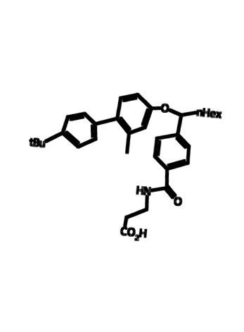 CCCCCCC(Oc1ccc(-c2ccc(C(C)(C)C)cc2)c(C)c1)c1ccc(C(=O)NCCC(=O)O)cc1